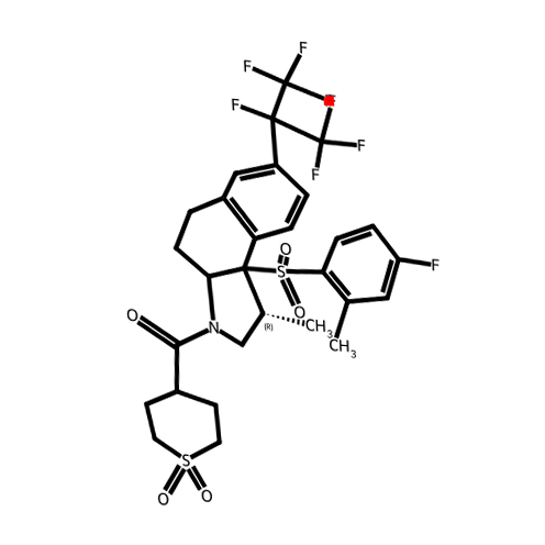 Cc1cc(F)ccc1S(=O)(=O)C12c3ccc(C(F)(C(F)(F)F)C(F)(F)F)cc3CCC1N(C(=O)C1CCS(=O)(=O)CC1)C[C@H]2C